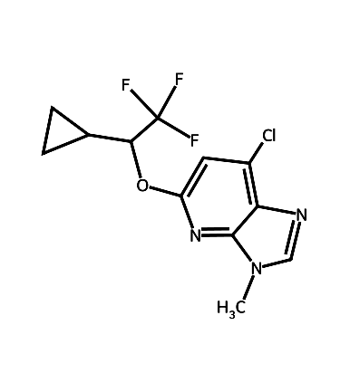 Cn1cnc2c(Cl)cc(OC(C3CC3)C(F)(F)F)nc21